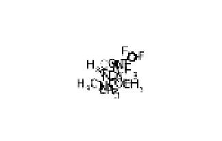 CCCC1(C)C(O)=C(C(=C2CC2)N(C)CC)N2CCC(C)C2=C1C(=O)NCc1ccc(F)cc1F